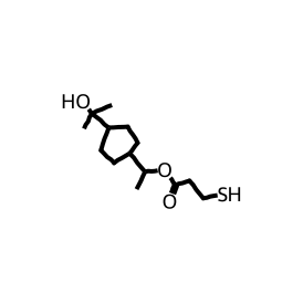 CC(OC(=O)CCS)C1CCC(C(C)(C)O)CC1